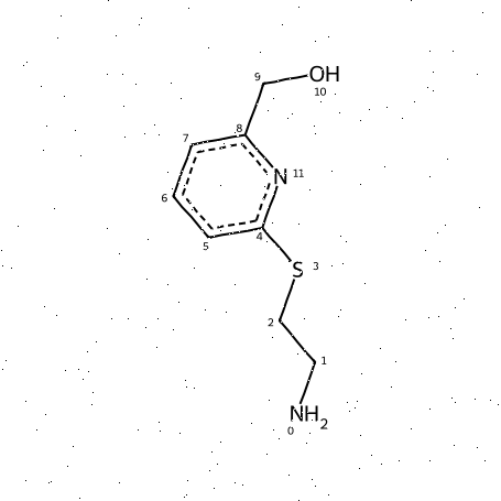 NCCSc1cccc(CO)n1